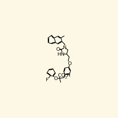 Cc1cc2ccccc2cc1CN1CC(CCOc2ccc(CC(C)(Oc3ccccc3F)C(=O)O)cc2)NC1=O